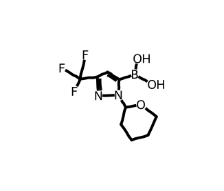 OB(O)c1cc(C(F)(F)F)nn1C1CCCCO1